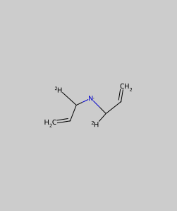 [2H]C(C=C)[N]C([2H])C=C